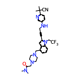 CN(C)C(=O)CN1CCN(Cc2cccc3c2cc(C#CCNc2ccc(C(C)(C)C#N)nc2)n3CC(F)(F)F)CC1